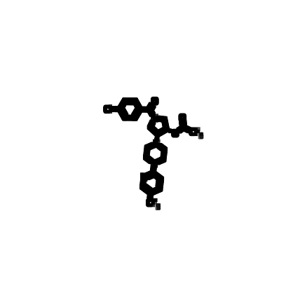 O=C(c1ccc(Cl)cc1)N1C[C@H](OC(=O)C(F)(F)F)[C@@H](N2CCN(c3ccc(C(F)(F)F)cn3)CC2)C1